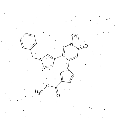 COC(=O)c1ccn(-c2cc(=O)n(C)cc2-c2cnn(Cc3ccccc3)c2)c1